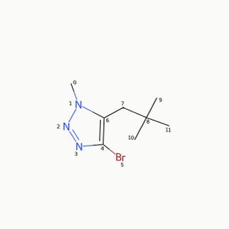 Cn1nnc(Br)c1CC(C)(C)C